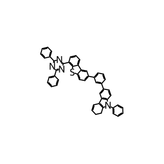 C1=Cc2c(n(-c3ccccc3)c3ccc(-c4cccc(-c5ccc6sc7c(-c8nc(-c9ccccc9)nc(-c9ccccc9)n8)cccc7c6c5)c4)cc23)CC1